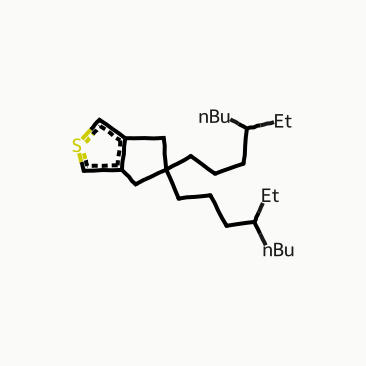 CCCCC(CC)CCCC1(CCCC(CC)CCCC)Cc2cscc2C1